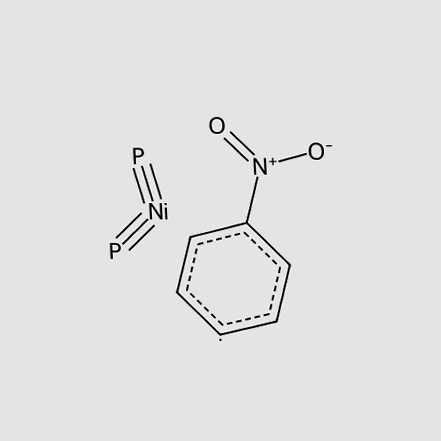 O=[N+]([O-])c1cc[c]cc1.[P]#[Ni]#[P]